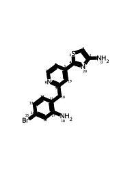 Nc1csc(-c2ccnc(Cc3ccc(Br)cc3N)c2)n1